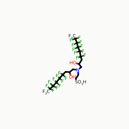 O=S(=O)(O)CCN(CC(O)CC(F)(F)C(F)(F)C(F)(F)C(F)(F)C(F)(F)C(F)(F)F)CC(O)CC(F)(F)C(F)(F)C(F)(F)C(F)(F)C(F)(F)C(F)(F)F